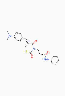 C/C(=C\c1ccc(N(C)C)cc1)C(=O)N(CCC(=O)Nc1ccccc1)C(=O)S